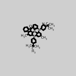 Cc1cc2c3c(c1)N(c1ccc(C(C)(C)C)cc1)c1cc(C)cc4c1B3c1c(cccc1C4(C)c1ccccc1)N2c1ccc(C(C)(C)C)cc1